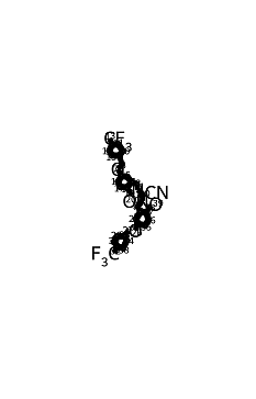 N#CC(N1Cc2cc(OCc3ccc(C(F)(F)F)cc3)ccc2C1=O)N1Cc2cc(OCc3ccc(C(F)(F)F)cc3)ccc2C1=O